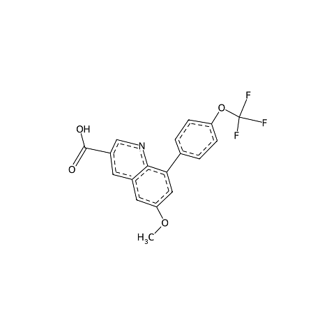 COc1cc(-c2ccc(OC(F)(F)F)cc2)c2ncc(C(=O)O)cc2c1